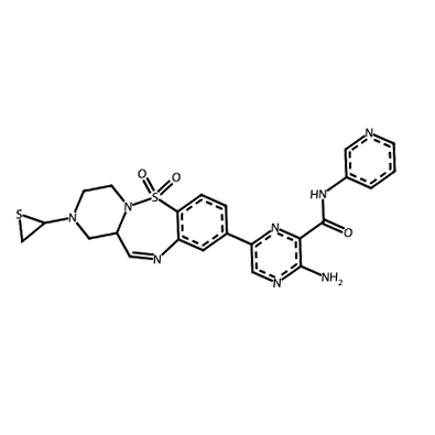 Nc1ncc(-c2ccc3c(c2)N=CC2CN(C4CS4)CCN2S3(=O)=O)nc1C(=O)Nc1cccnc1